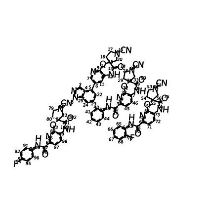 Cn1ncc2c(-c3cnc4c(c3)NC(=O)C3(CCN(C#N)C3)O4)cccc21.N#CN1CCC2(C1)Oc1nc(C(=O)Nc3ccccc3)ccc1NC2=O.N#CN1CCC2(C1)Oc1nc(C(=O)Nc3ccccc3F)ccc1NC2=O.N#CN1CC[C@@]2(C1)Oc1nc(C(=O)Nc3ccc(F)cc3)ccc1NC2=O